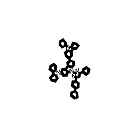 c1ccc(-c2ccc(-c3cc(-c4ccccc4)nc(-n4c5ccc(-c6ccc7c(c6)c6ccccc6n7-c6ccccc6)cc5c5cc(-n6c7ccccc7c7ccccc76)ccc54)n3)cc2)cc1